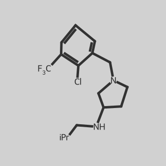 CC(C)CNC1CCN(Cc2cccc(C(F)(F)F)c2Cl)C1